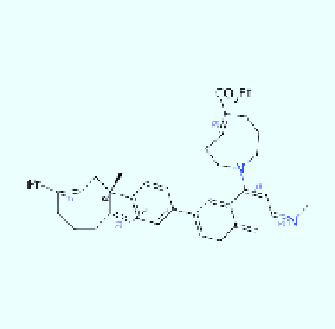 C=C1CC=C(c2ccc([C@@]3(C)C/C=C(\C(C)C)CCC/C3=C/C)cc2)C=C1/C(=C\C=N/C)N1CC/C=C(\C(=O)OCC)CCC1